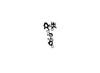 Cc1cccc(-n2nnn(C)c2=O)c1COc1ccn(-c2nc3ccc(Cl)cc3s2)n1